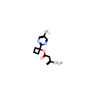 C=C(CC(=O)OC1(c2ncc(C(F)(F)F)cn2)CCC1)C(=O)O